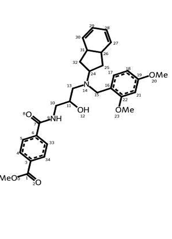 COC(=O)c1ccc(C(=O)NCC(O)CN(Cc2ccc(OC)cc2OC)C2CC3C=CC=CC3C2)cc1